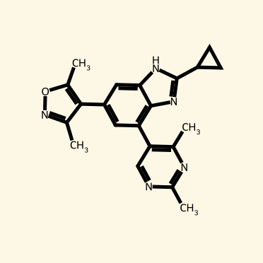 Cc1ncc(-c2cc(-c3c(C)noc3C)cc3[nH]c(C4CC4)nc23)c(C)n1